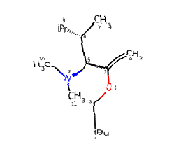 C=C(OCC(C)(C)C)[C@H]([C@@H](C)C(C)C)N(C)C